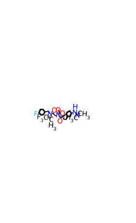 C[C@H](N(Cc1ccc(F)cc1)C(=O)CN1C(=O)O[C@@]2(CCc3cc(NN(C)C)ccc32)C1=O)C(F)(F)F